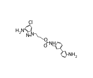 Nc1cccc(-c2cccc(CNC(=O)OCCCCn3cnc4c(N)cc(Cl)cc43)c2)c1